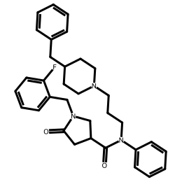 O=C1CC(C(=O)N(CCCN2CCC(Cc3ccccc3)CC2)c2ccccc2)CN1Cc1ccccc1F